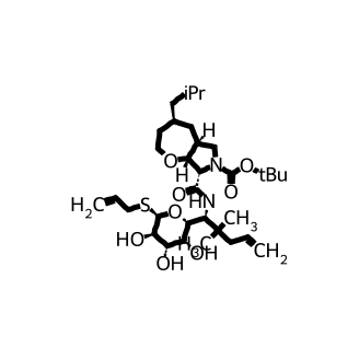 C=CCS[C@H]1O[C@H]([C@H](NC(=O)[C@@H]2[C@@H]3OCC[C@@H](CC(C)C)C[C@H]3CN2C(=O)OC(C)(C)C)C(C)(C)CC=C)[C@H](O)[C@H](O)[C@H]1O